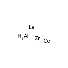 [AlH3].[Ce].[La].[Zr]